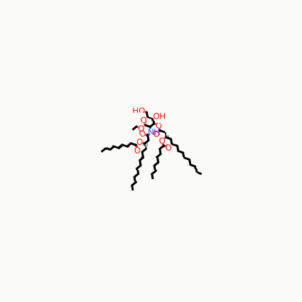 CCCCCCCCCCC[C@H](CC(=O)NC1C(OCC)OC(CO)C(O)C1OC(=O)C[C@@H](CCCCCCCCCCC)OC(=O)CCCCCCCC)OC(=O)CCCCCCCC